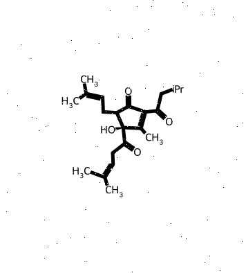 CC(C)=CCC(=O)[C@@]1(O)C(C)=C(C(=O)CC(C)C)C(=O)C1CC=C(C)C